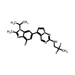 Cc1nc2c(F)cc(-c3ccn4nc(NCC(C)(F)F)ncc34)cc2n1C(C)C